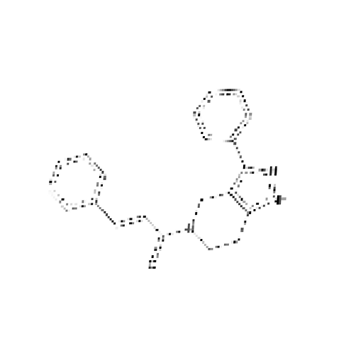 O=C(C=Cc1ccccc1)N1CCc2[nH]nc(-c3ccccc3)c2C1